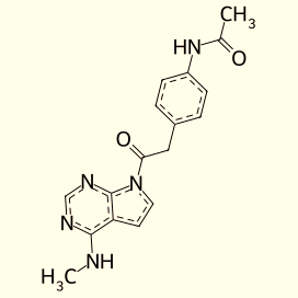 CNc1ncnc2c1ccn2C(=O)Cc1ccc(NC(C)=O)cc1